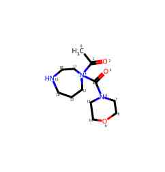 CC(=O)[N+]1(C(=O)N2CCOCC2)CCCNCC1